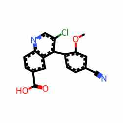 COc1cc(C#N)ccc1-c1c(Cl)cnc2ccc(C(=O)O)cc12